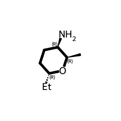 CC[C@@H]1CC[C@@H](N)[C@@H](C)O1